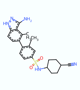 Cc1cc(S(=O)(=O)NC2CCC(C#N)CC2)ccc1-c1ccc2[nH]nc(N)c2c1C